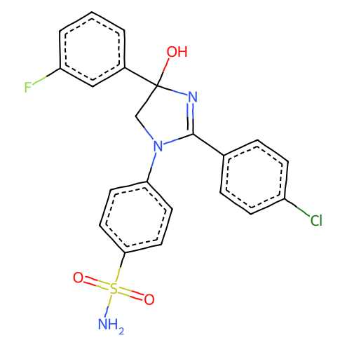 NS(=O)(=O)c1ccc(N2CC(O)(c3cccc(F)c3)N=C2c2ccc(Cl)cc2)cc1